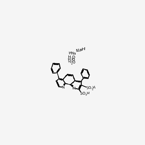 O.O.O.O=S(=O)(O)c1nc2c(ccc3c(-c4ccccc4)ccnc32)c(-c2ccccc2)c1S(=O)(=O)O.[NaH].[NaH]